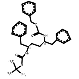 CC(C)(C)OC(=O)N[C@H](CC[C@H](Cc1ccccc1)NC(=O)OCc1ccccc1)Cc1ccccc1